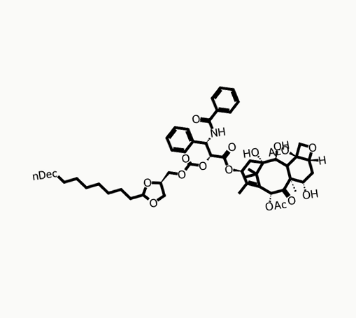 CCCCCCCCCCCCCCCCCC1OC[C@H](COC(=O)O[C@@H](C(=O)O[C@H]2C[C@@]3(O)[C@@H](O)C4[C@](C)(C(=O)[C@H](OC(C)=O)C(=C2C)C3(C)C)[C@@H](O)C[C@H]2OC[C@@]42OC(C)=O)[C@@H](NC(=O)c2ccccc2)c2ccccc2)O1